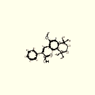 COc1cc2c(cc1C=C(C(=O)O)c1ccccc1)C(C)(C)CCC2(C)C